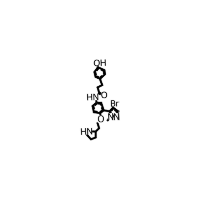 Cn1ncc(Br)c1-c1cc(NC(=O)CCc2ccc(O)cc2)ccc1OCCC1CCCN1